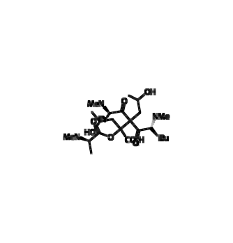 CC[C@H](C)[C@@H](NC)C(=O)C(CC(C)O)(C(=O)[C@H](NC)C(C)C)C(CC(C)O)(OC(=O)[C@@H](C)NC)C(=O)O